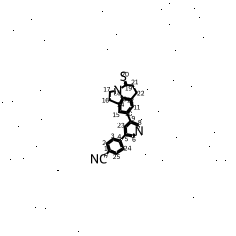 N#Cc1ccc(-c2cncc(-c3cc4c5c(c3)CCN5C(=S)CC4)c2)cc1